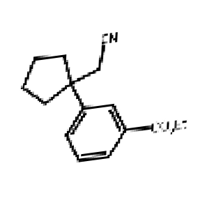 CCOC(=O)c1cccc(C2(CC#N)CCCC2)c1